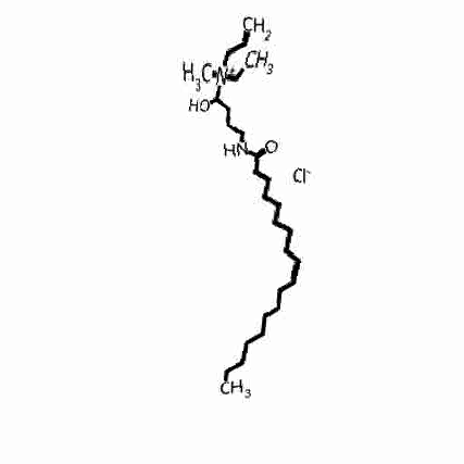 C=CC[N+](C)(CC)C(O)CCCNC(=O)CCCCCCC/C=C\CCCCCCCC.[Cl-]